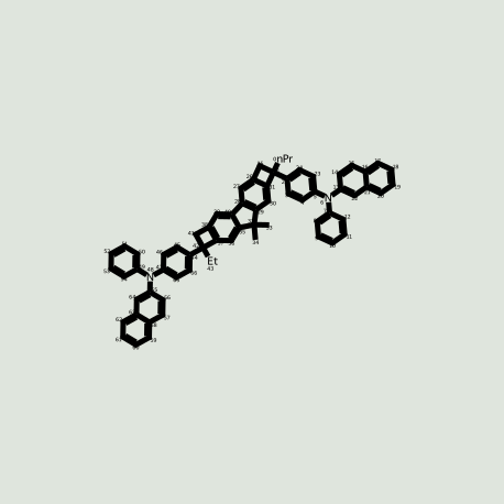 CCCC1(c2ccc(N(c3ccccc3)c3ccc4ccccc4c3)cc2)Cc2cc3c(cc21)C(C)(C)c1cc2c(cc1-3)CC2(CC)c1ccc(N(c2ccccc2)c2ccc3ccccc3c2)cc1